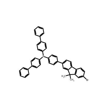 CC1(C)c2cc(Br)ccc2-c2ccc(-c3ccc(N(c4ccc(-c5ccccc5)cc4)c4ccc(-c5ccccc5)cc4)cc3)cc21